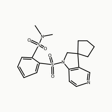 CN(C)S(=O)(=O)c1ccccc1S(=O)(=O)N1CC2(CCCC2)c2cnccc21